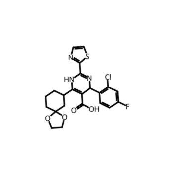 O=C(O)C1=C(C2CCCC3(C2)OCCO3)NC(c2nccs2)=NC1c1ccc(F)cc1Cl